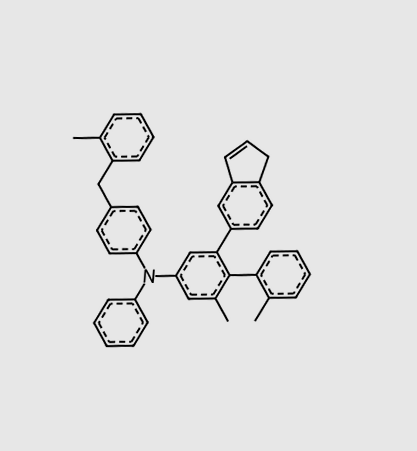 Cc1ccccc1Cc1ccc(N(c2ccccc2)c2cc(C)c(-c3ccccc3C)c(-c3ccc4c(c3)C=CC4)c2)cc1